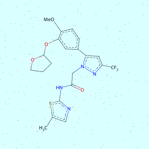 COc1ccc(-c2cc(C(F)(F)F)nn2CC(=O)Nc2ncc(C)s2)cc1OC1CCCO1